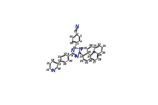 N#Cc1ccc(-c2nc(-c3ccc(-c4cccnc4)cc3)nc(-c3ccc4ccc5cccc6ccc3c4c56)n2)cc1